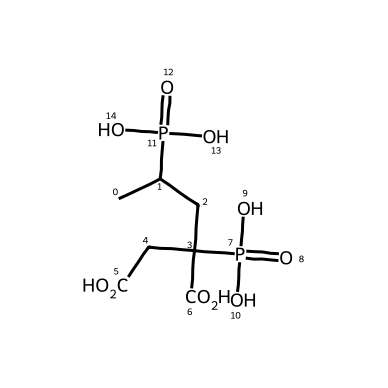 CC(CC(CC(=O)O)(C(=O)O)P(=O)(O)O)P(=O)(O)O